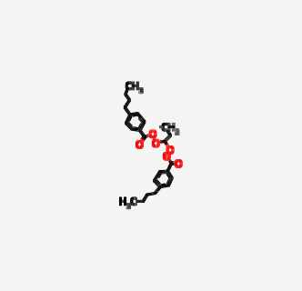 [CH2]C[C](OOC(=O)c1ccc(CCCC)cc1)OOC(=O)c1ccc(CCCC)cc1